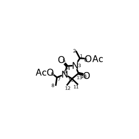 CC(=O)OC(C)N1C(=O)N(C(C)OC(C)=O)C(C)(C)C1=O